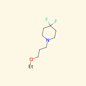 CCOCCCN1CCC(F)(F)CC1